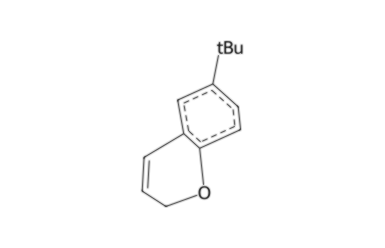 CC(C)(C)c1ccc2c(c1)C=CCO2